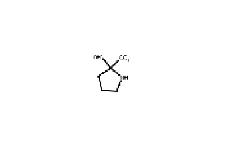 CCCC1(C(=O)O)CCCN1